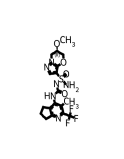 CO[C@H]1COc2c(S(N)(=O)=NC(=O)Nc3c(C)c(C(F)(F)F)nc4c3CCC4)cnn2C1